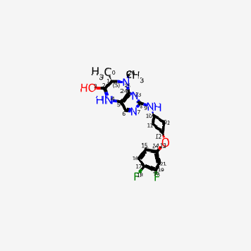 C[C@H]1C(O)Nc2cnc(N[C@H]3C[C@H](Oc4ccc(F)c(F)c4)C3)nc2N1C